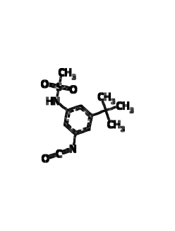 CC(C)(C)c1cc(N=C=O)cc(NS(C)(=O)=O)c1